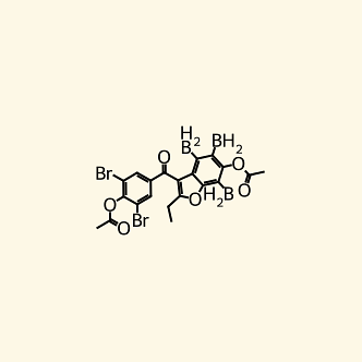 Bc1c(OC(C)=O)c(B)c2oc(CC)c(C(=O)c3cc(Br)c(OC(C)=O)c(Br)c3)c2c1B